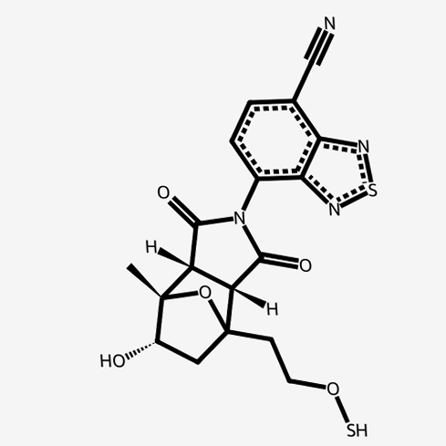 C[C@@]12OC(CCOS)(C[C@@H]1O)[C@H]1C(=O)N(c3ccc(C#N)c4nsnc34)C(=O)[C@H]12